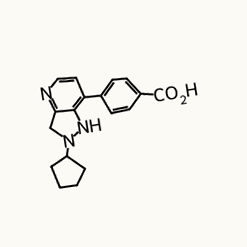 O=C(O)c1ccc(-c2ccnc3c2NN(C2CCCC2)C3)cc1